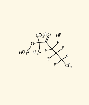 CC(OS(=O)(=O)O)(C(=O)O)C(=O)C(F)(F)C(F)(F)C(F)(F)C(F)(F)F.F